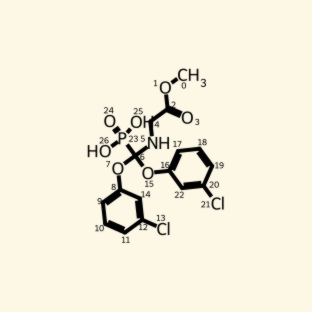 COC(=O)CNC(Oc1cccc(Cl)c1)(Oc1cccc(Cl)c1)P(=O)(O)O